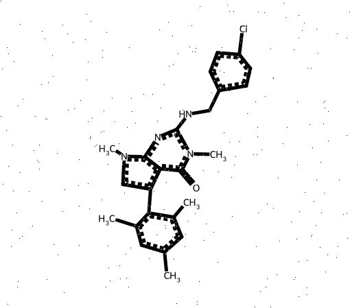 Cc1cc(C)c(-c2cn(C)c3nc(NCc4ccc(Cl)cc4)n(C)c(=O)c23)c(C)c1